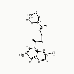 C=C(/C=C\C=C(/C)N1CCNCC1)c1nc(Cl)nc2ccc(Cl)cc12